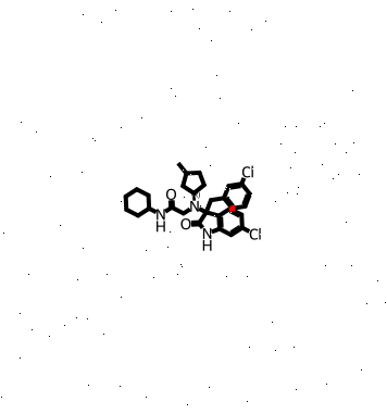 CC1CC[C@@H](N(CC(=O)NC2CCCCC2)C2(Cc3cccc(Cl)c3)C(=O)Nc3cc(Cl)ccc32)C1